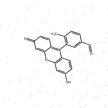 Cc1ccc(C=O)cc1-c1c2ccc(=O)cc-2oc2cc(O)ccc12